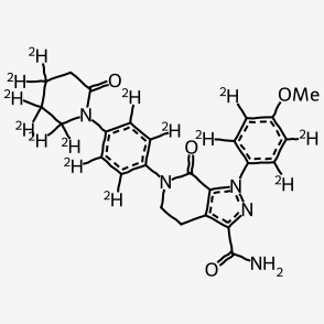 [2H]c1c([2H])c(-n2nc(C(N)=O)c3c2C(=O)N(c2c([2H])c([2H])c(N4C(=O)CC([2H])([2H])C([2H])([2H])C4([2H])[2H])c([2H])c2[2H])CC3)c([2H])c([2H])c1OC